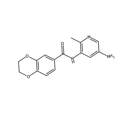 Cc1ncc(N)cc1NC(=O)c1ccc2c(c1)OCCO2